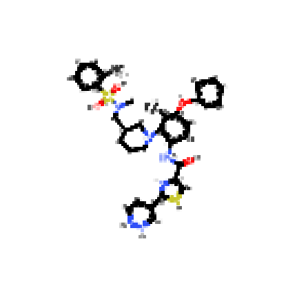 CN(C[C@@H]1CCCN(c2c(NC(=O)c3csc(-c4ccnnc4)n3)ccc(Oc3ccccc3)c2C(F)(F)F)C1)S(=O)(=O)c1ccccc1[N+](=O)[O-]